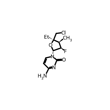 CC[C@@]1(CCl)O[C@@H](n2ccc(N)nc2=O)[C@H](F)[C@@H]1C